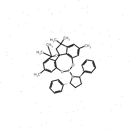 Cc1cc2c3c(c1)C(C)(C)CC31CC(C)(C)c3cc(C)cc(c31)OP(N1[C@@H](c3ccccc3)CC[C@@H]1c1ccccc1)O2